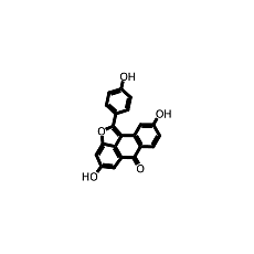 O=C1c2ccc(O)cc2-c2c(-c3ccc(O)cc3)oc3cc(O)cc1c23